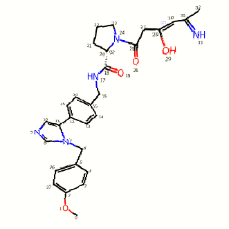 COc1ccc(Cn2cncc2-c2ccc(CNC(=O)[C@@H]3CCCN3C(=O)C/C(O)=C/C(C)=N)cc2)cc1